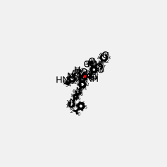 CC(C)c1ccccc1[C@@H]1CCCN1C1CC2(C1)CN(c1ccc(C(=O)NS(=O)(=O)c3cc4c(c([N+](=O)[O-])c3)N[C@@H](C3CCOCC3)CO4)c(N3c4cc5cc[nH]c5nc4O[C@H]4COC[C@@H]43)c1)C2